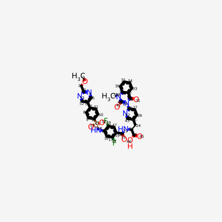 COCc1ncc(-c2ccc(S(=O)(=O)Nc3cc(F)c(C(=O)N[C@@H](Cc4ccc(-n5c(=O)c6ccccc6n(C)c5=O)nc4)C(=O)O)cc3F)cc2)cn1